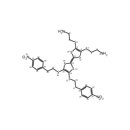 NCCSC1=C(SCCN)SC(=C2SC(SCCc3ccc([N+](=O)[O-])cc3)=C(SCCc3ccc([N+](=O)[O-])cc3)S2)S1